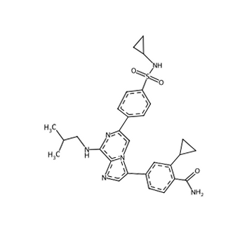 CC(C)CNc1nc(-c2ccc(S(=O)(=O)NC3CC3)cc2)cn2c(-c3ccc(C(N)=O)c(C4CC4)c3)cnc12